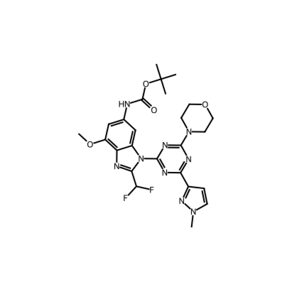 COc1cc(NC(=O)OC(C)(C)C)cc2c1nc(C(F)F)n2-c1nc(-c2ccn(C)n2)nc(N2CCOCC2)n1